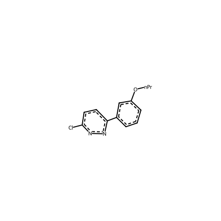 CCCOc1cccc(-c2ccc(Cl)nn2)c1